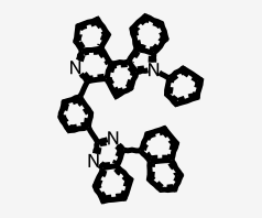 c1ccc(-n2c3ccccc3c3c4c(ccc32)c(-c2cccc(-c3nc(-c5cccc6ccccc56)c5ccccc5n3)c2)nc2ccccc24)cc1